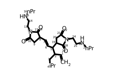 C=CC(CC(C)C)C(C=CC1CC(=O)N(CCNCCC)C1=O)C1CC(=O)N(CCNCCC)C1=O